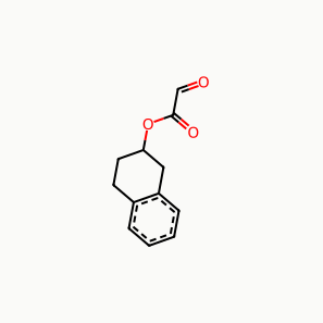 O=CC(=O)OC1CCc2ccccc2C1